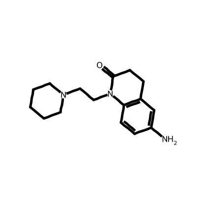 Nc1ccc2c(c1)CCC(=O)N2CCN1CCCCC1